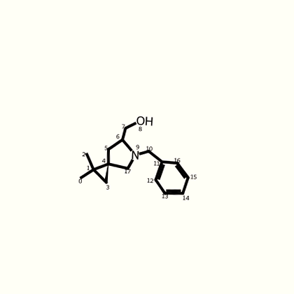 CC1(C)C[C@]12CC(CO)N(Cc1ccccc1)C2